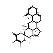 CC1=C(C)C(=O)O[C@]2(C1)O[C@@]1(O)CC3C(CC=C4CC=CC(=O)[C@@]43C)C3CC[C@@](O)([C@@H]2C)[C@]31C